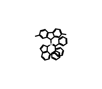 Cc1ccc2c(c1)[CH]([Zr](=[C](c1ccccc1)c1ccccc1)[CH]1C=Cc3cccc(-c4ccccc4)c31)c1cc(C)ccc1-2